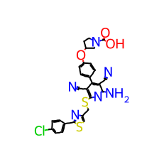 N#Cc1c(N)nc(SCc2csc(-c3ccc(Cl)cc3)n2)c(C#N)c1-c1ccc(OC2CCN(C(=O)O)C2)cc1